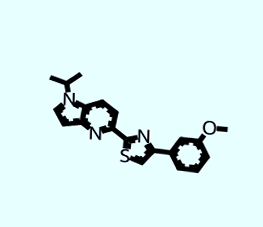 COc1cccc(-c2csc(-c3ccc4c(ccn4C(C)C)n3)n2)c1